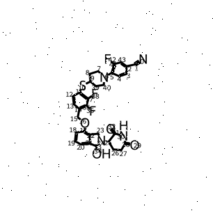 N#Cc1ccc(N2CCC(Sc3ccc(COc4cccc5c4CN([C@H]4CCC(=O)NC4=O)C5O)c(F)c3F)CC2)c(F)c1